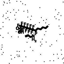 C=CCN.CCCCCC(F)C(F)(F)C(F)(F)C(F)(F)C(F)(F)C(F)(F)S(=O)(=O)O